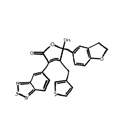 O=C1OC(O)(c2ccc3c(c2)CCO3)C(Cc2ccsc2)=C1c1ccc2nsnc2c1